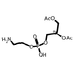 CC(=O)OC[C@H](COP(=O)(O)OCCN)OC(C)=O